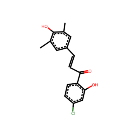 Cc1cc(C=CC(=O)c2ccc(Cl)cc2O)cc(C)c1O